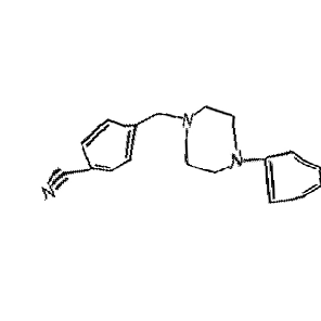 N#Cc1ccc(CN2CCN(c3ccccc3)CC2)cc1